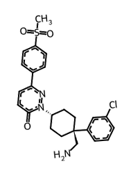 CS(=O)(=O)c1ccc(-c2ccc(=O)n([C@H]3CC[C@@](CN)(c4cccc(Cl)c4)CC3)n2)cc1